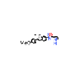 COc1ccc(CCc2ccc(-c3noc(C4CCCN4)n3)cc2C(F)(F)F)cc1